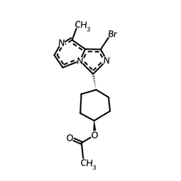 CC(=O)O[C@H]1CC[C@H](c2nc(Br)c3c(C)nccn32)CC1